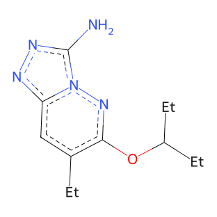 CCc1cc2nnc(N)n2nc1OC(CC)CC